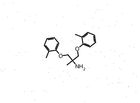 Cc1ccccc1OCC(C)(N)COc1ccccc1C